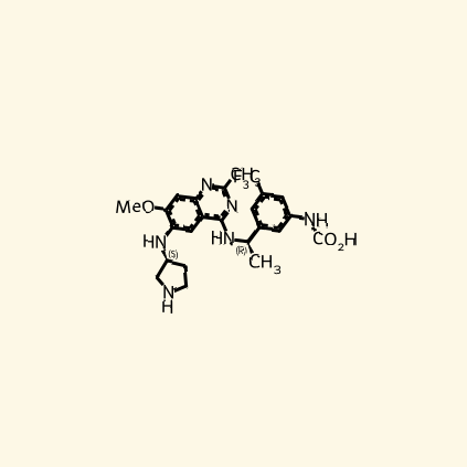 COc1cc2nc(C)nc(N[C@H](C)c3cc(NC(=O)O)cc(C(F)(F)F)c3)c2cc1N[C@H]1CCNC1